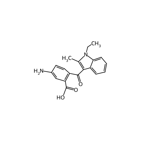 CCn1c(C)c(C(=O)c2ccc(N)cc2C(=O)O)c2ccccc21